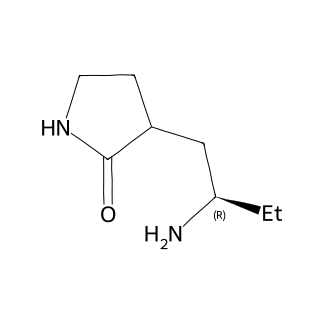 CC[C@@H](N)CC1CCNC1=O